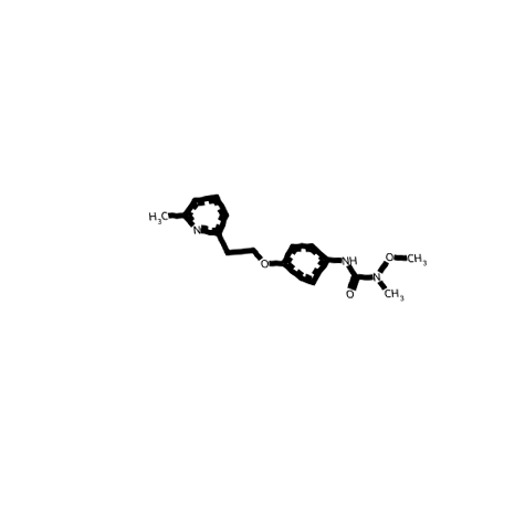 CON(C)C(=O)Nc1ccc(OCCc2cccc(C)n2)cc1